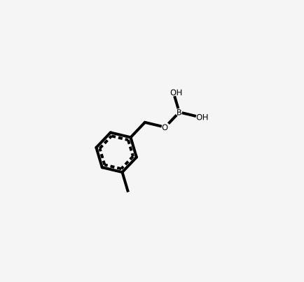 Cc1cccc(COB(O)O)c1